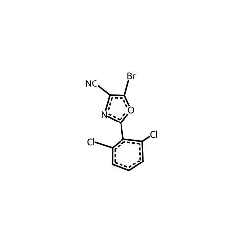 N#Cc1nc(-c2c(Cl)cccc2Cl)oc1Br